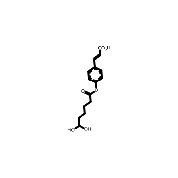 O=C(O)/C=C/c1ccc(OC(=O)CCCCC(O)O)cc1